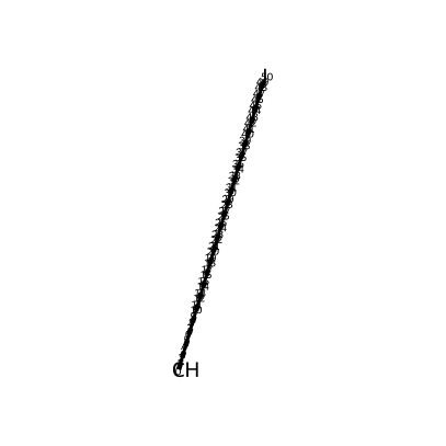 C#CC#CC#CC#CC#CC#CC#CC#CC#CC#CC#CC#CC#CC#CC#CC#CC#CC#CC#CC#CC#CC#CC#CC#CC#CI